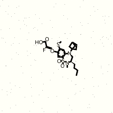 CCCC[C@@H]1CN(C23CCC(C2)C3)c2cc(SC)c(O/C=C(\F)C(=O)O)cc2S(=O)(=O)N1C